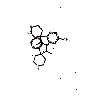 CC(C(=O)C(C)C1(c2ccc(N)cc2)CCNCC1)C1(c2ccc(N)cc2)CCNCC1